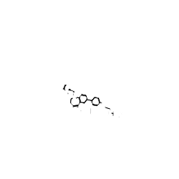 CCCCOCCOc1ccc(-c2ccc3c(c2)C=C(C(=O)O)CCN3Cc2nccs2)cc1